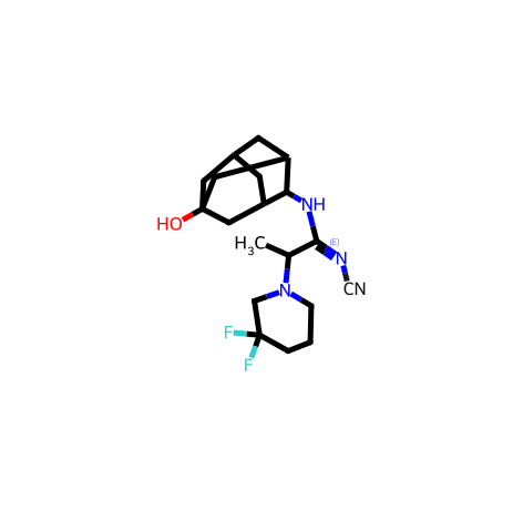 CC(/C(=N\C#N)NC1C2CC3CC1CC(O)(C3)C2)N1CCCC(F)(F)C1